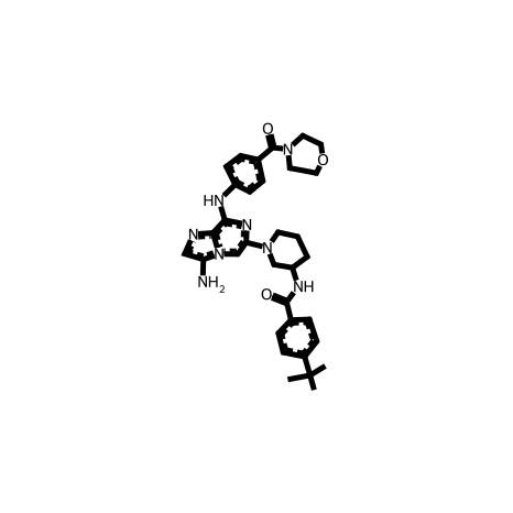 CC(C)(C)c1ccc(C(=O)NC2CCCN(c3cn4c(N)cnc4c(Nc4ccc(C(=O)N5CCOCC5)cc4)n3)C2)cc1